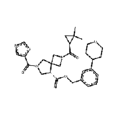 C=C(OCc1cccc(C2CCOCC2)c1)[C@@H]1CN(C(=O)c2cncs2)CC12CN(C(=O)[C@H]1CC1(C)C)C2